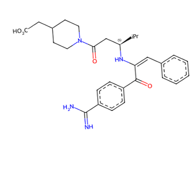 CC(C)[C@H](CC(=O)N1CCC(CC(=O)O)CC1)NC(=Cc1ccccc1)C(=O)c1ccc(C(=N)N)cc1